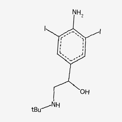 CC(C)(C)NCC(O)c1cc(I)c(N)c(I)c1